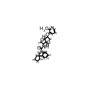 Cc1ncccc1O[C@H]1CO[C@H]2[C@@H]1OC[C@@H]2NC(=O)NCC1(c2ccccc2)CCCC1